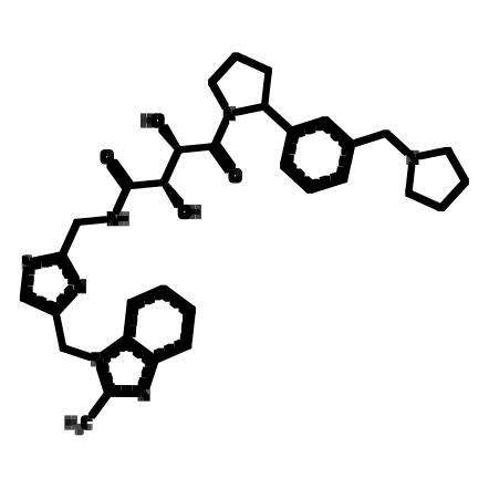 Cc1nc2ccccc2n1Cc1csc(CNC(=O)[C@H](O)[C@@H](O)C(=O)N2CCCC2c2cccc(CN3CCCC3)c2)n1